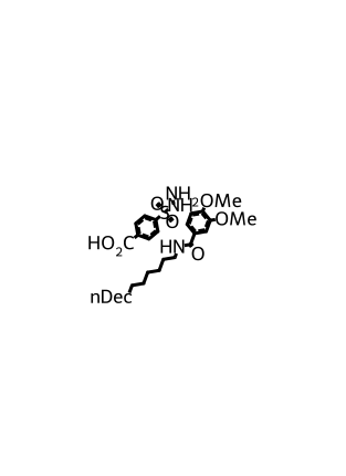 CCCCCCCCCCCCCCCCNC(=O)c1ccc(OC)c(OC)c1.NNS(=O)(=O)c1ccc(C(=O)O)cc1